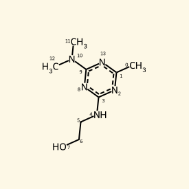 Cc1nc(NCCO)nc(N(C)C)n1